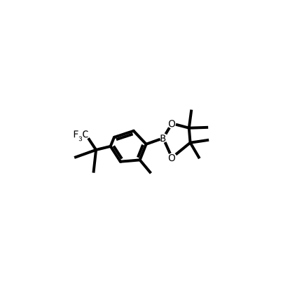 Cc1cc(C(C)(C)C(F)(F)F)ccc1B1OC(C)(C)C(C)(C)O1